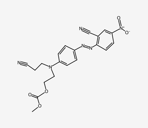 COC(=O)OCCN(CCC#N)c1ccc(N=Nc2ccc([N+](=O)[O-])cc2C#N)cc1